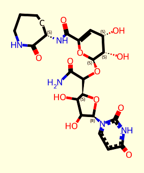 NC(=O)C(O[C@H]1OC(C(=O)N[C@H]2CCCCNC2=O)=C[C@H](O)[C@@H]1O)[C@H]1O[C@@H](n2ccc(=O)[nH]c2=O)C(O)C1O